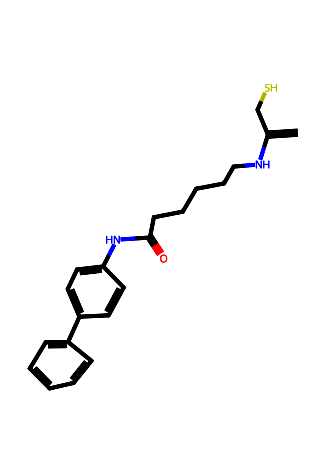 C=C(CS)NCCCCCC(=O)Nc1ccc(-c2ccccc2)cc1